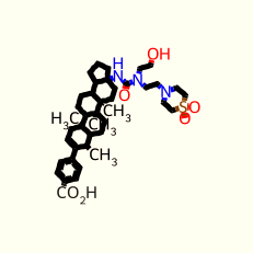 CC1C(c2ccc(C(=O)O)cc2)=CCC2(C)C1CCC1(C)C2CCC2C3CCCC3(NC(=O)N(CCO)CCN3CCS(=O)(=O)CC3)CC[C@]21C